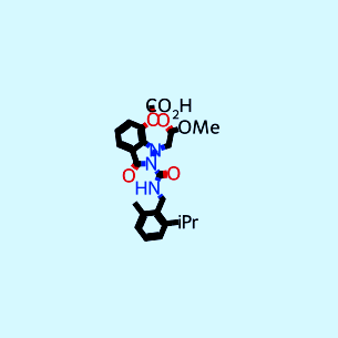 COC(=O)Cn1c2c(OC(=O)O)cccc2c(=O)n1C(=O)NCc1c(C)cccc1C(C)C